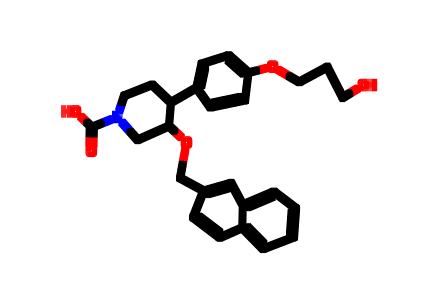 O=C(O)N1CCC(c2ccc(OCCCO)cc2)C(OCc2ccc3ccccc3c2)C1